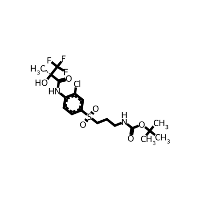 CC(C)(C)OC(=O)NCCCS(=O)(=O)c1ccc(NC(=O)[C@@](C)(O)C(F)(F)F)c(Cl)c1